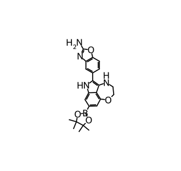 CC1(C)OB(c2cc3c4c(c(-c5ccc6oc(N)nc6c5)[nH]c4c2)NCCO3)OC1(C)C